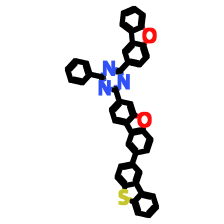 c1ccc(-c2nc(-c3ccc4c(c3)oc3ccc(-c5ccc6sc7ccccc7c6c5)cc34)nc(-c3ccc4oc5ccccc5c4c3)n2)cc1